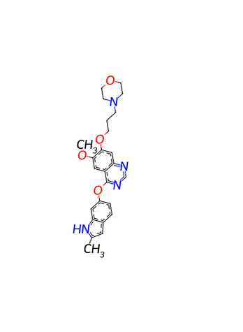 COc1cc2c(Oc3ccc4cc(C)[nH]c4c3)ncnc2cc1OCCCN1CCOCC1